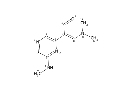 CNc1cncc(C(C=O)=CN(C)C)n1